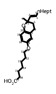 CCCCCCCC=CC1(C)CCc2cc(OCCCCCCC(=O)O)ccc2O1